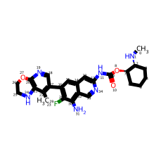 CN[C@@H]1CCCC[C@H]1OC(=O)Nc1cc2cc(-c3cnc4c(c3C)NCCO4)c(F)c(N)c2cn1